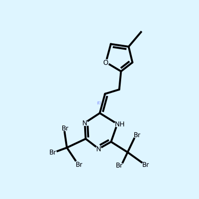 Cc1coc(C/C=C2/N=C(C(Br)(Br)Br)N=C(C(Br)(Br)Br)N2)c1